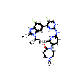 Cc1nc(Nc2ncc(F)c(-c3cc(F)c4nc(C)n(C(C)C)c4c3)n2)ccc1N1CCN(C)CCC1=O